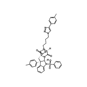 Cc1ccc(-c2cn(CCCCN3C(=O)[C@@]45C[C@]6(c7ccc(C)cc7)c7ccccc7N(S(=O)(=O)c7ccccc7)[C@@H]6N4C(=O)[C@@H]3SS5)nn2)cc1